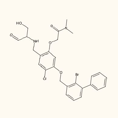 CN(C)C(=O)COc1cc(OCc2cccc(-c3ccccc3)c2Br)c(Cl)cc1CNC(C=O)CO